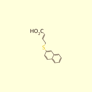 O=C(O)/C=C/CSc1ccc2ccccc2c1